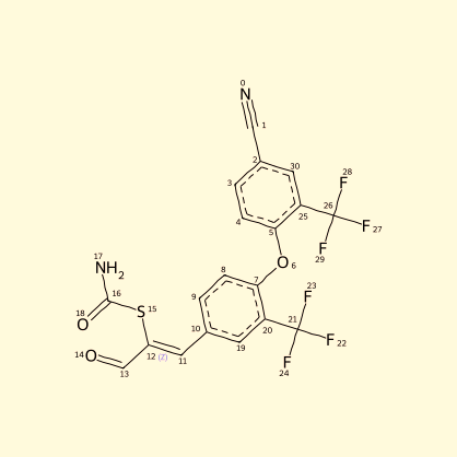 N#Cc1ccc(Oc2ccc(/C=C(/C=O)SC(N)=O)cc2C(F)(F)F)c(C(F)(F)F)c1